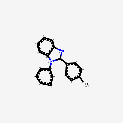 Bc1ccc(C2Nc3ccccc3N2c2ccccc2)cc1